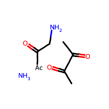 CC(=O)C(=O)CN.CC(=O)C(C)=O.N